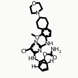 COc1c(Nc2ncc(Cl)c(N[C@H]3[C@@H](OC(N)=O)[C@@H]4C=C[C@H]3C4)n2)ccc2c1CC[C@H](N1CCOCC1)CC2